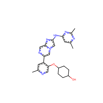 Cc1cc(-c2cn3cc(Nc4cc(C)nc(C)n4)nc3cn2)c(OC2CCC(O)CC2)cn1